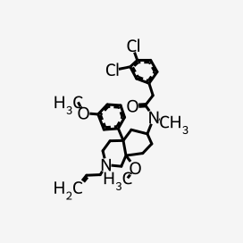 C=CCN1CCC2(c3cccc(OC)c3)CC(N(C)C(=O)Cc3ccc(Cl)c(Cl)c3)CCC2(OC)C1